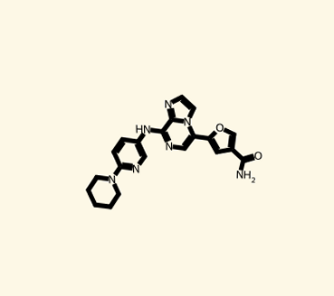 NC(=O)c1coc(-c2cnc(Nc3ccc(N4CCCCC4)nc3)c3nccn23)c1